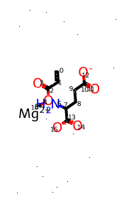 C=CC(=O)OC.NC(CCC(=O)[O-])C(=O)[O-].[Mg+2]